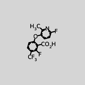 Cc1nc(F)ccc1Oc1ccc(C(F)(F)F)c(F)c1C(=O)O